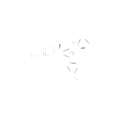 Cc1c(C(=O)N2CCN(C)CC2)cc(-c2ccc([N+](=O)[O-])cc2)n1Cc1ccccc1